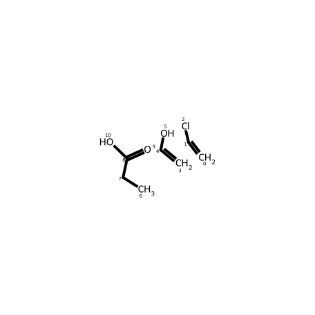 C=CCl.C=CO.CCC(=O)O